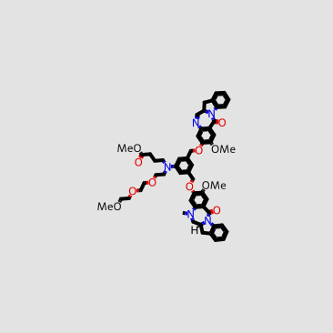 COCCOCCOCCN(CCCC(=O)OC)c1cc(COc2cc3c(cc2OC)C(=O)N2c4ccccc4CC2C=N3)cc(COc2cc3c(cc2OC)C(=O)N2c4ccccc4C[C@H]2CN3C)c1